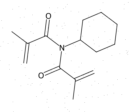 C=C(C)C(=O)N(C(=O)C(=C)C)C1CCCCC1